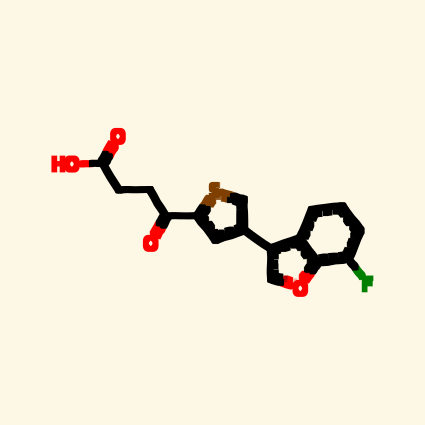 O=C(O)CCC(=O)c1cc(-c2coc3c(F)cccc23)cs1